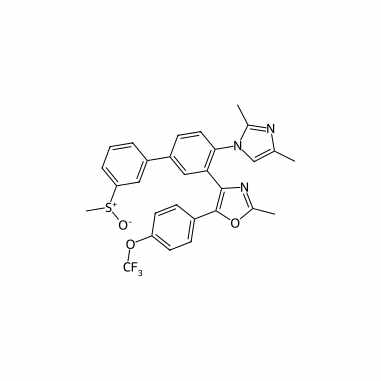 Cc1cn(-c2ccc(-c3cccc([S+](C)[O-])c3)cc2-c2nc(C)oc2-c2ccc(OC(F)(F)F)cc2)c(C)n1